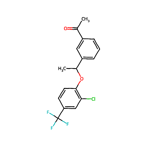 CC(=O)c1cccc(C(C)Oc2ccc(C(F)(F)F)cc2Cl)c1